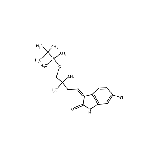 CC(C)(CC=C1C(=O)Nc2cc(Cl)ccc21)CO[Si](C)(C)C(C)(C)C